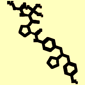 COC(=O)N[C@H](C(=O)N1CCC[C@H]1C(=O)Nc1ccc(CN(Cc2ccc(N)cc2)C2CCCC2)cc1)C(C)(C)C